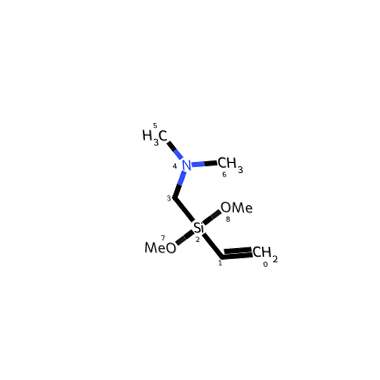 C=C[Si](CN(C)C)(OC)OC